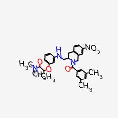 Cc1cc(C)cc(C(=O)N2Cc3cc([N+](=O)[O-])ccc3CC2CNc2cccc(OC(C)C(=O)N(C)C)c2)c1